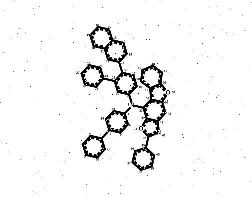 c1ccc(-c2ccc(N(c3ccc(-c4ccc5ccccc5c4)c(-c4ccccc4)c3)c3c4oc(-c5ccccc5)nc4cc4oc5ccccc5c34)cc2)cc1